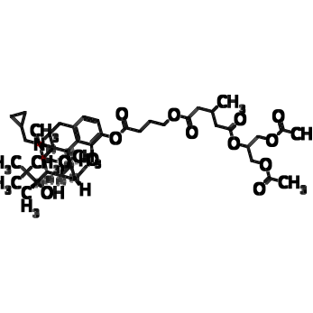 CC[C@]12C[C@H]([C@](C)(O)C(C)(C)C)[C@@]3(OC)[C@H]4Oc5c(OC(=O)CCCOC(=O)CC(C)CC(=O)OC(COC(C)=O)COC(C)=O)ccc6c5[C@@]1(CCN(CC1CC1)C2C6)[C@@H]43